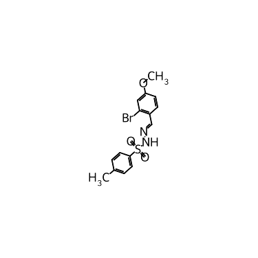 COc1ccc(/C=N/NS(=O)(=O)c2ccc(C)cc2)c(Br)c1